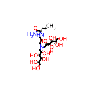 CCC[C@H](NCCCN(C[C@H](O)[C@@H](O)[C@H](O)[C@H](O)CO)C[C@H](O)[C@@H](O)[C@H](O)[C@H](O)CO)C(N)=O